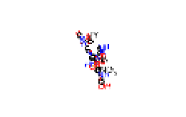 CC(C)Oc1ccccc1[C@@H]1CN(C2CCOCC2)CCN1C1CC2(CCN(c3ccc(C(=O)NS(=O)(=O)c4ccc(NC[C@H]5CC[C@](C)(O)CC5)c([N+](=O)[O-])c4)c(N4c5cc6cc[nH]c6nc5O[C@H]5COCC[C@@H]54)c3)CC2)C1C